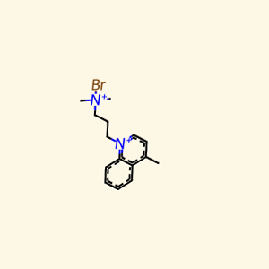 Cc1cc[n+](CCC[N+](C)(C)Br)c2ccccc12